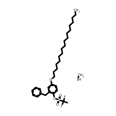 CCCCCCCCCCCCCCCCCCOc1ccc(OS(=O)(=O)C(F)(F)F)c(Cc2ccccc2)c1.CS